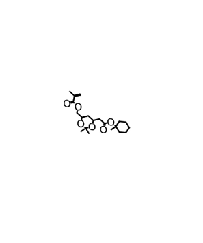 C=C(C)C(=O)OCC1CC(CC(=O)OC2(C)CCCCC2)OC(C)(C)O1